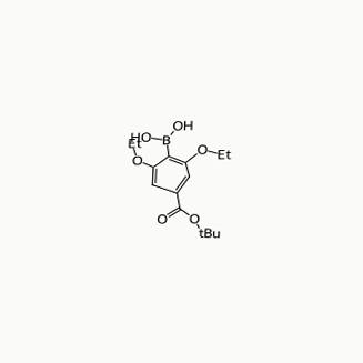 CCOc1cc(C(=O)OC(C)(C)C)cc(OCC)c1B(O)O